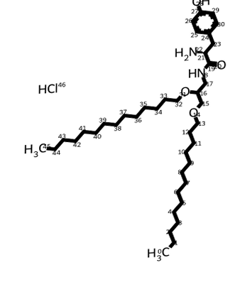 CCCCCCCCCCCCCCOCC(CNC(=O)[C@@H](N)Cc1ccc(O)cc1)OCCCCCCCCCCCCCC.Cl